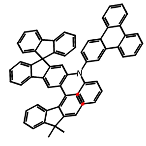 CC1(C)c2ccccc2-c2c(-c3cc4c(cc3N(c3ccccc3)c3ccc5c6ccccc6c6ccccc6c5c3)C3(c5ccccc5-c5ccccc53)c3ccccc3-4)cccc21